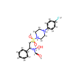 O=CN(O)C(CS(=O)(=O)N1CCN(c2ccc(F)cc2)CC1)c1ccccc1